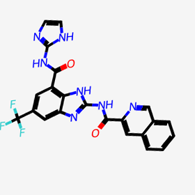 O=C(Nc1nc2cc(C(F)(F)F)cc(C(=O)Nc3ncc[nH]3)c2[nH]1)c1cc2ccccc2cn1